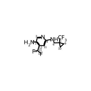 Nc1cnc(NCC2(C(F)(F)F)CC2)cc1C(F)F